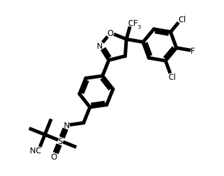 CC(C)(C#N)S(C)(=O)=NCc1ccc(C2=NOC(c3cc(Cl)c(F)c(Cl)c3)(C(F)(F)F)C2)cc1